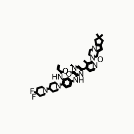 C=CC(=O)Nc1cc(Nc2nc(-c3ccnc(N4CCn5c(cc6c5CC(C)(C)C6)C4=O)c3C)cn(C)c2=O)ccc1N1CCC(N2CCC(F)(F)CC2)CC1